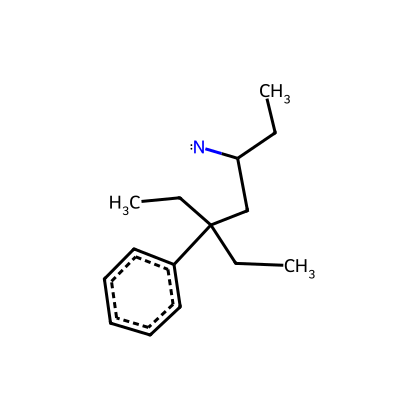 CCC([N])CC(CC)(CC)c1ccccc1